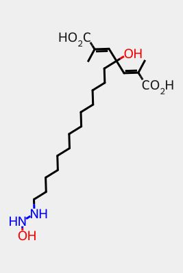 CC(=CC(O)(C=C(C)C(=O)O)CCCCCCCCCCCCCNNO)C(=O)O